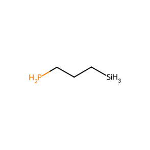 [SiH3]CCCP